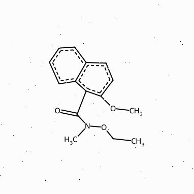 CCON(C)C(=O)c1c(OC)ccc2ccccc12